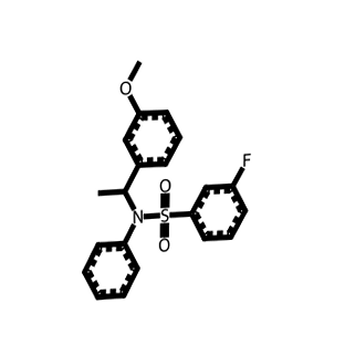 COc1cccc(C(C)N(c2ccccc2)S(=O)(=O)c2cccc(F)c2)c1